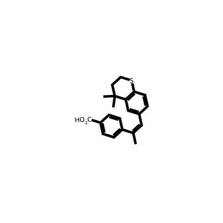 CC(=Cc1ccc2c(c1)C(C)(C)CCS2)c1ccc(C(=O)O)cc1